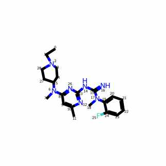 CCN1CCC(N(C)c2cc(C)nc(NC(=N)N(C)c3ccccc3F)n2)CC1